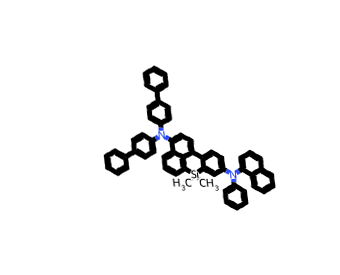 C[Si]1(C)c2cc(N(c3ccccc3)c3cccc4ccccc34)ccc2-c2ccc(N(c3ccc(-c4ccccc4)cc3)c3ccc(-c4ccccc4)cc3)c3cccc1c23